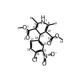 COC(=O)C1=C(C)NC(C)=C(C(=O)OC)C1c1ccc(Cl)c([N+](=O)[O-])c1